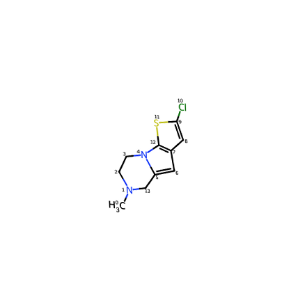 CN1CCn2c(cc3cc(Cl)sc32)C1